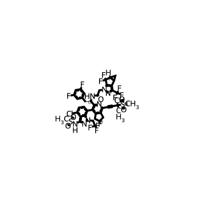 CC(C)(C#Cc1nc([C@H](Cc2cc(F)cc(F)c2)NC(=O)Cn2nc(C(F)(F)F)c3c2C(F)(F)[C@@H]2CC32)c(-c2ccc(Cl)c3c(NS(C)(=O)=O)nn(CC(F)(F)F)c23)c2c1C[C@H](F)C2)S(C)(=O)=O